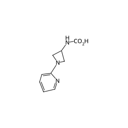 O=C(O)NC1CN(c2ccccn2)C1